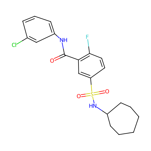 O=C(Nc1cccc(Cl)c1)c1cc(S(=O)(=O)NC2CCCCCC2)ccc1F